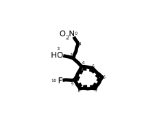 O=[N+]([O-])CC(O)c1ccccc1F